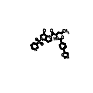 CCCC(NC(=O)c1ccc(-c2cnco2)cc1)C(=O)N1CCC2C1C(=O)CN2S(=O)(=O)c1cccnc1